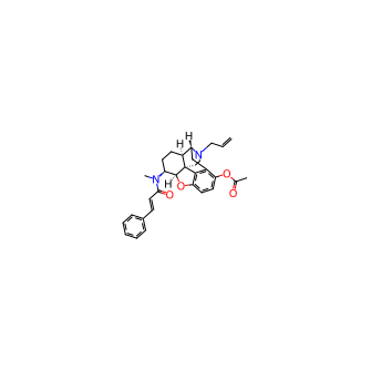 C=CCN1CC[C@@]23c4c5ccc(OC(C)=O)c4C[C@@H]1[C@@H]2CC[C@H](N(C)C(=O)C=Cc1ccccc1)[C@@H]3O5